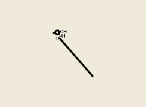 C#CC#CC#CC#CC#CC#CC#CC#CC#CC#CC#CC(=O)Nc1cc(C)ccc1O